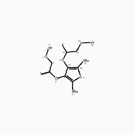 CCCOCC(C)Oc1c(C(C)(C)C)sc(C(C)(C)C)c1OC(C)COCCC